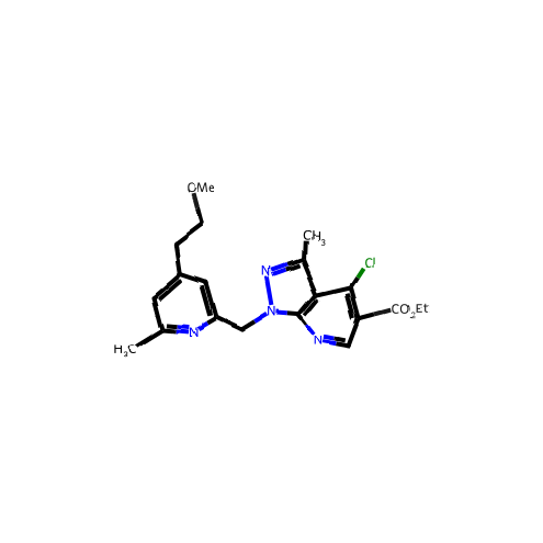 CCOC(=O)c1cnc2c(c(C)nn2Cc2cc(CCOC)cc(C)n2)c1Cl